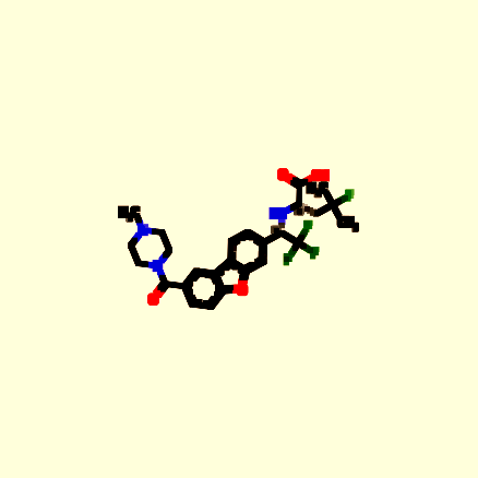 CN1CCN(C(=O)c2ccc3oc4cc([C@H](N[C@@H](CC(C)(C)F)C(=O)O)C(F)(F)F)ccc4c3c2)CC1